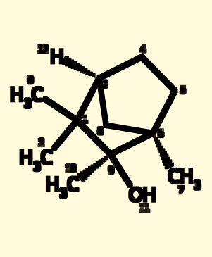 CC1(C)[C@H]2CC[C@](C)(C2)[C@@]1(C)O